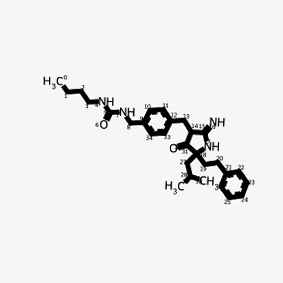 CCCCNC(=O)NCc1ccc(CC2C(=N)NC(CCc3ccccc3)(CC(C)C)C2=O)cc1